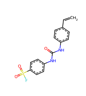 C=Cc1ccc(NC(=O)Nc2ccc(S(=O)(=O)F)cc2)cc1